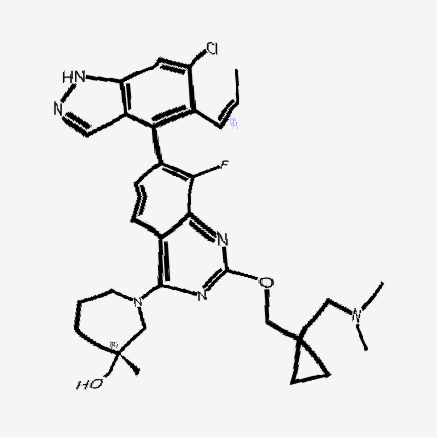 C/C=C\c1c(Cl)cc2[nH]ncc2c1-c1ccc2c(N3CCC[C@@](C)(O)C3)nc(OCC3(CN(C)C)CC3)nc2c1F